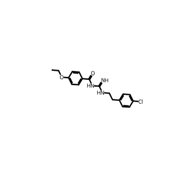 CCOc1ccc(C(=O)NC(=N)NCCc2ccc(Cl)cc2)cc1